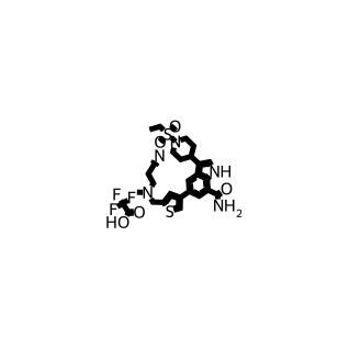 CCS(=O)(=O)N1CCC(c2c[nH]c3c(C(N)=O)cc(-c4csc(CN(C)CCC#N)c4)cc23)CC1.O=C(O)C(F)(F)F